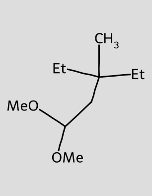 CCC(C)(CC)CC(OC)OC